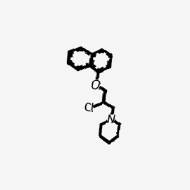 ClC(COc1cccc2ccccc12)CN1CCCCC1